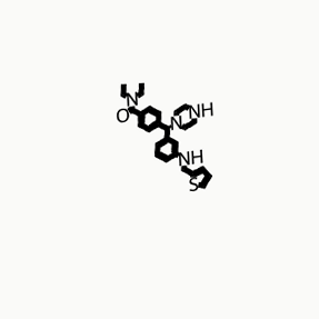 CCN(CC)C(=O)c1ccc([C@H](c2cccc(NCc3cccs3)c2)N2CCNCC2)cc1